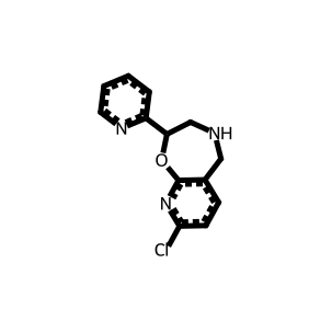 Clc1ccc2c(n1)OC(c1ccccn1)CNC2